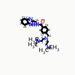 CN(C)CCN(CCN(C)C)Cc1ccc(C(=O)NCc2nc3ccccc3[nH]2)cc1